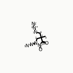 CC(CN=[N+]=[N-])(CN=[N+]=[N-])C(=O)N=O